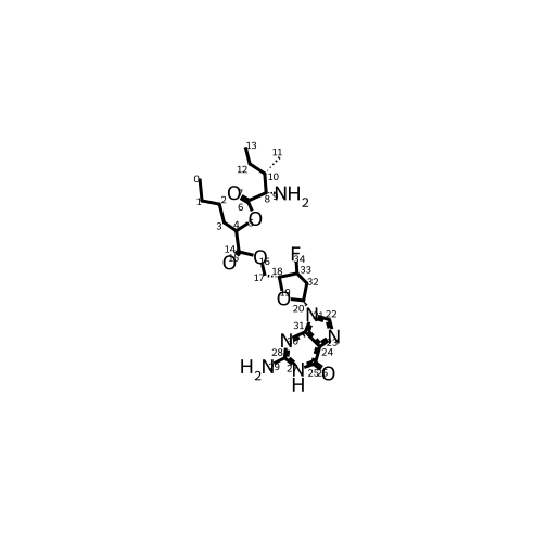 CCCCC(OC(=O)[C@@H](N)[C@@H](C)CC)C(=O)OC[C@H]1O[C@@H](n2cnc3c(=O)[nH]c(N)nc32)CC1F